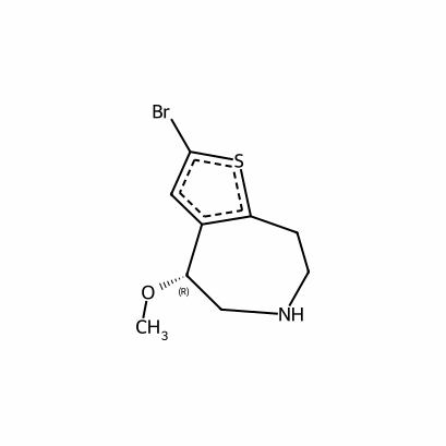 CO[C@H]1CNCCc2sc(Br)cc21